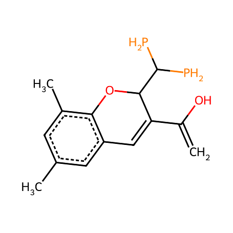 C=C(O)C1=Cc2cc(C)cc(C)c2OC1C(P)P